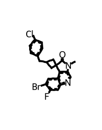 CN1C(=O)C2(CC(Cc3ccc(Cl)cc3)C2)c2c1cnc1cc(F)c(Br)cc21